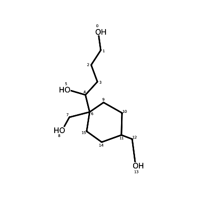 OCCCC(O)C1(CO)CCC(CO)CC1